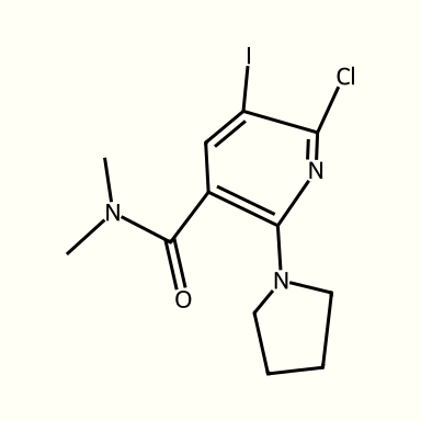 CN(C)C(=O)c1cc(I)c(Cl)nc1N1CCCC1